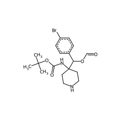 CC(C)(C)OC(=O)NC1(C(OC=O)c2ccc(Br)cc2)CCNCC1